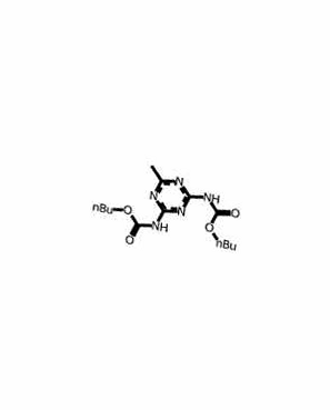 CCCCOC(=O)Nc1nc(C)nc(NC(=O)OCCCC)n1